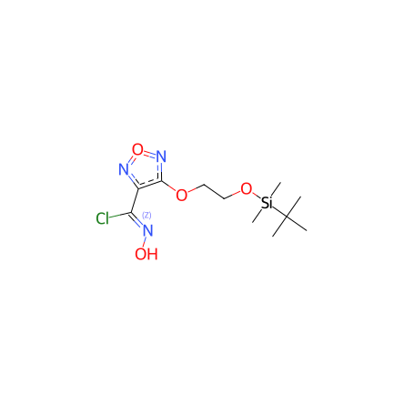 CC(C)(C)[Si](C)(C)OCCOc1nonc1/C(Cl)=N/O